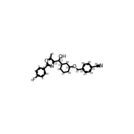 Cc1oc(-c2ccc(F)cc2)nc1C(O)C1CCCC(OCc2ccc(C#N)cc2)C1